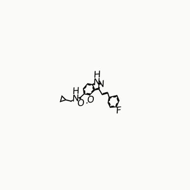 COc1c(C(=O)NCC2CC2)ccc2[nH]nc(C=Cc3ccc(F)cc3)c12